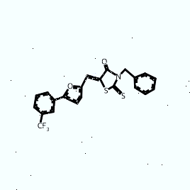 O=C1/C(=C/c2ccc(-c3cccc(C(F)(F)F)c3)o2)SC(=S)N1Cc1ccccc1